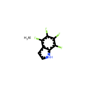 Fc1c(F)c(F)c2[nH]ccc2c1F.[AlH3]